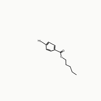 CCCCCOC(=O)c1ccc(S)cc1